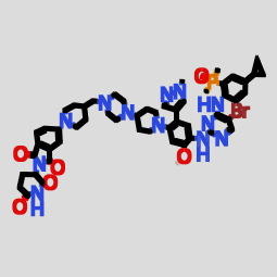 COc1cc(N2CCC(N3CCN(CC4CCN(c5ccc6c(c5)C(=O)N(C5CCC(=O)NC5=O)C6=O)CC4)CC3)CC2)c(-c2cnn(C)c2)cc1Nc1ncc(Br)c(Nc2ccc(C3CC3)cc2P(C)(C)=O)n1